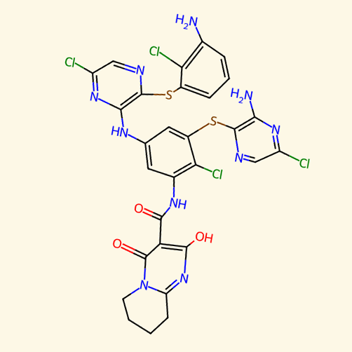 Nc1cccc(Sc2ncc(Cl)nc2Nc2cc(NC(=O)c3c(O)nc4n(c3=O)CCCC4)c(Cl)c(Sc3ncc(Cl)nc3N)c2)c1Cl